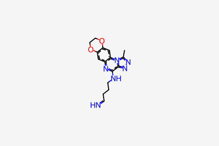 Cc1nnc2c(NCCCC=N)nc3cc4c(cc3n12)OCCO4